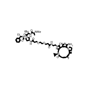 C=C1/C=C(F)\C=C/CC(=O)N(C2CC2)Cc2nn(CCNC(=O)CCOCCOCCC(=O)N[C@@H]3C[C@H](C(=O)N[C@@H](CC)c4ccccc4)N(C(=O)[C@H](NC(=O)[C@@H](C)NC)C(C)(C)C)C3)c(C#N)c2-c2cnc(N)c(c2)N2CCC[C@H]12